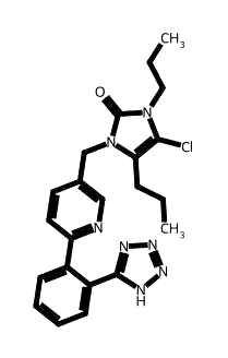 CCCc1c(Cl)n(CCC)c(=O)n1Cc1ccc(-c2ccccc2-c2nnn[nH]2)nc1